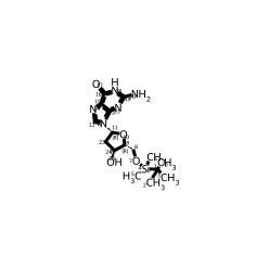 CC(C)(C)[Si](C)(C)OC[C@H]1O[C@@H](n2cnc3c(=O)[nH]c(N)nc32)C[C@@H]1O